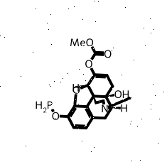 COC(=O)OC1=CC[C@]2(O)[C@@H]3Cc4ccc(OP)c5c4[C@]2(CCN3C)[C@@H]1O5